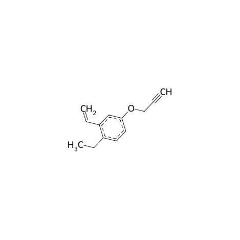 C#CCOc1ccc(CC)c(C=C)c1